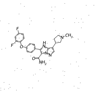 CN1CCC(c2cnn3c(C(N)=O)c(-c4ccc(Oc5ccc(F)cc5F)cc4)[nH]c23)C1